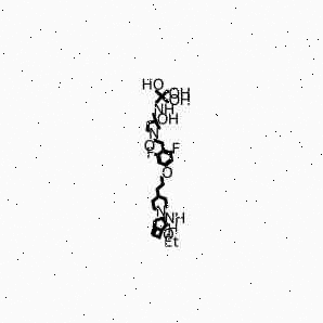 CCOC12CC3=C1C3C1(N3CCC(CCCOc4cc(F)c(CC(=O)N5CCC(O)(CNCC(CO)(CO)CO)C5)c(F)c4)CC3)N[C@H]21